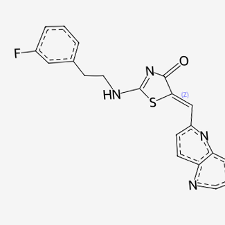 O=C1N=C(NCCc2cccc(F)c2)S/C1=C\c1ccc2ncccc2n1